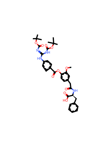 COc1cc(CC(=O)N[C@@H](Cc2ccccc2)C(=O)O)ccc1OC(=O)c1ccc(N/C(=N/C(=O)OC(C)(C)C)NC(=O)OC(C)(C)C)cc1